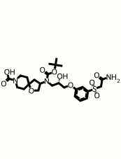 CC(C)(C)OC(=O)N(C[C@H](O)COc1cccc(S(=O)(=O)CC(N)=O)c1)C1COC2(CCN(C(=O)O)CC2)C1